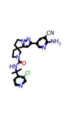 CC(C)(NC(=O)N1CCC2(CCn3nc(-c4cnc(N)c(C#N)c4)cc32)C1)c1ccncc1Cl